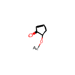 CC(=O)OC1CC=CC1=O